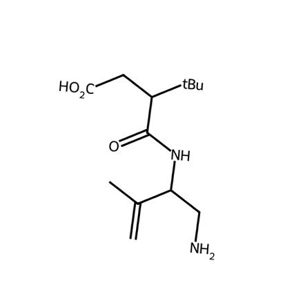 C=C(C)C(CN)NC(=O)C(CC(=O)O)C(C)(C)C